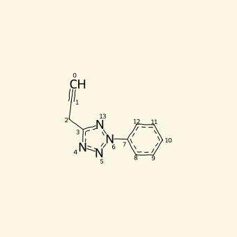 C#CCc1nnn(-c2ccccc2)n1